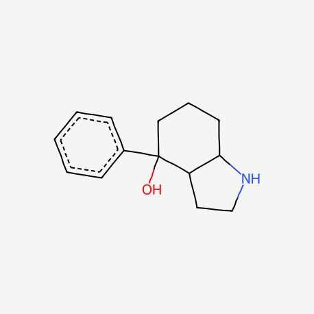 OC1(c2ccccc2)CCCC2NCCC21